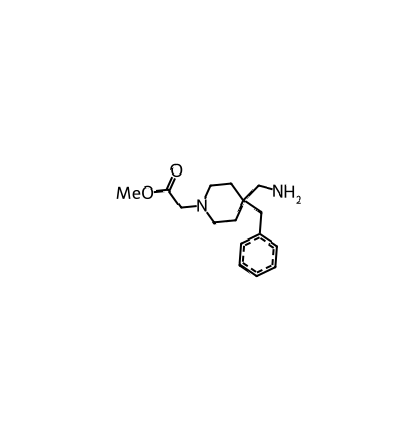 COC(=O)CN1CCC(CN)(Cc2ccccc2)CC1